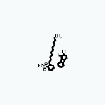 CCCCCCCCCCCCc1ccccc1S(=O)(=O)O.Clc1ccc2c(c1I)-c1ccccc1-2